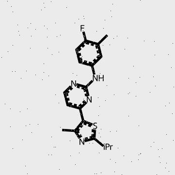 Cc1cc(Nc2nccc(-c3sc(C(C)C)nc3C)n2)ccc1F